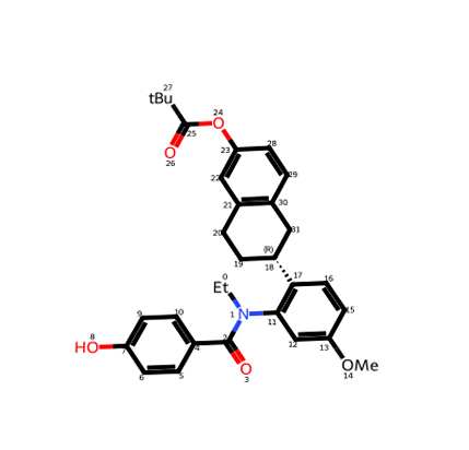 CCN(C(=O)c1ccc(O)cc1)c1cc(OC)ccc1[C@@H]1CCc2cc(OC(=O)C(C)(C)C)ccc2C1